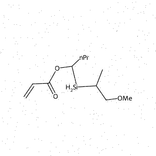 C=CC(=O)OC(CCC)[SiH2]C(C)COC